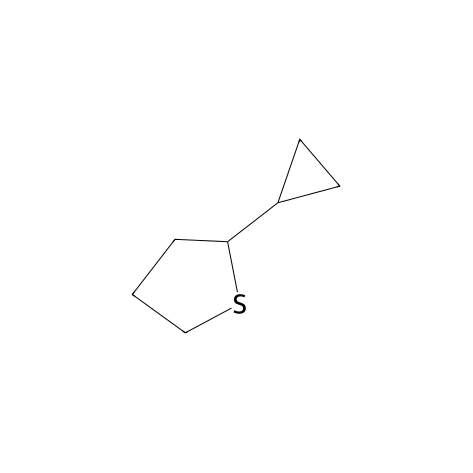 C1CSC(C2CC2)C1